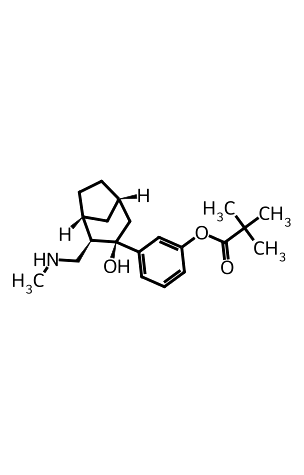 CNC[C@H]1[C@@H]2CC[C@@H](C2)C[C@]1(O)c1cccc(OC(=O)C(C)(C)C)c1